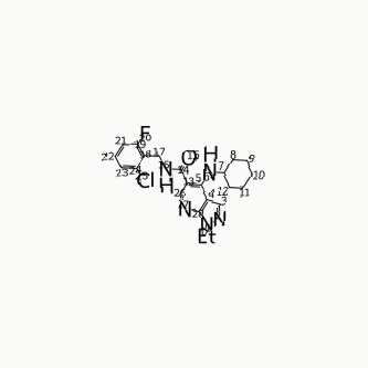 CCn1ncc2c(NC3CCCCC3)c(C(=O)NCc3c(F)cccc3Cl)cnc21